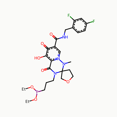 CCOP(CCCN1C(=O)c2c(O)c(=O)c(C(=O)NCc3ccc(F)cc3F)cn2N(C)C12CCOC2)OCC